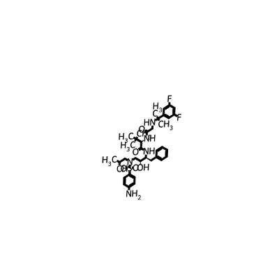 CC(C)CN(C[C@@H](O)[C@H](Cc1ccccc1)NC(=O)[C@@H](NC(=O)CNC(C)(C)c1cc(F)cc(F)c1)C(C)(C)C)S(=O)(=O)c1ccc(N)cc1